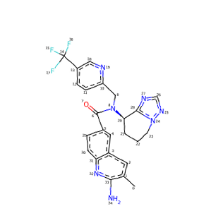 Cc1cc2cc(C(=O)N(Cc3ccc(C(F)(F)F)cn3)[C@@H]3CCCn4ncnc43)ccc2nc1N